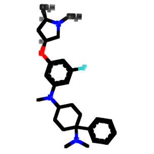 CN(c1cc(F)cc(O[C@H]2C[C@@H](C(=O)O)N(C(=O)O)C2)c1)C1CCC(c2ccccc2)(N(C)C)CC1